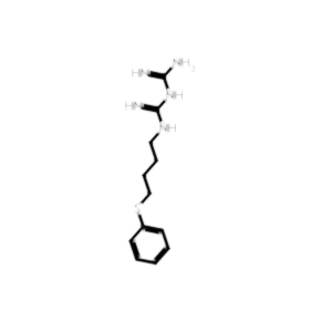 N=C(N)NC(=N)NCCCCSc1ccccc1